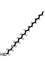 CCCCCCCCCCCCCCCCCCSCCCO